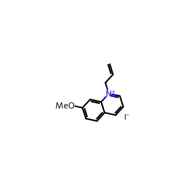 C=CC[n+]1cccc2ccc(OC)cc21.[I-]